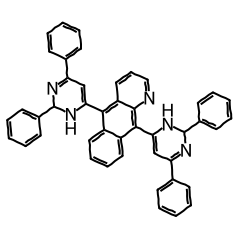 C1=C(c2c3ccccc3c(C3=CC(c4ccccc4)=NC(c4ccccc4)N3)c3ncccc23)NC(c2ccccc2)N=C1c1ccccc1